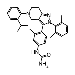 Cc1cc(NC(N)=O)ccc1-c1c2c(nn1-c1c(C)cccc1C)CCN(c1ccccc1C(C)C)C2